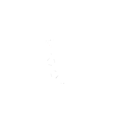 CCCCCCc1ccc(-c2ccc([C@H]3CO[C@H](CCCCC)CO3)cc2)cc1